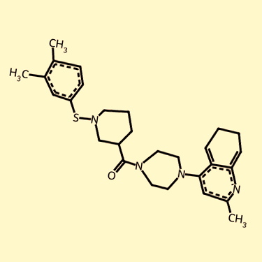 Cc1cc(N2CCN(C(=O)C3CCCN(Sc4ccc(C)c(C)c4)C3)CC2)c2c(n1)=CCCC=2